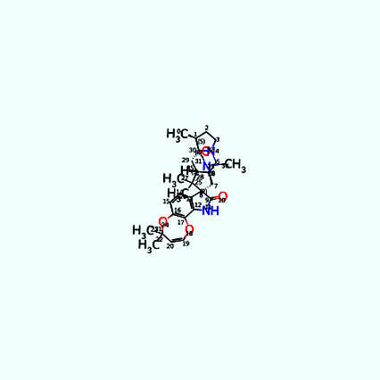 C[C@H]1CCN2C[C@]34C[C@@]5(C(=O)Nc6c5ccc5c6OC=CC(C)(C)O5)C(C)(C)[C@@H]3C[C@]12C(=O)N4C